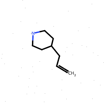 C=CCC1CC[N]CC1